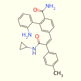 Cc1ccc(C(=Cc2ccc(C(N)=O)c(-c3ccccc3N)c2)C(=O)NC2CC2)cc1